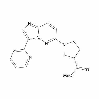 COC(=O)[C@H]1CCN(c2ccc3ncc(-c4ccccn4)n3n2)C1